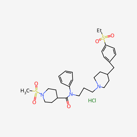 CCS(=O)(=O)c1ccc(CC2CCN(CCCN(C(=O)C3CCN(S(C)(=O)=O)CC3)c3ccccc3)CC2)cc1.Cl